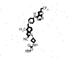 Cc1c(CN2CCC(Nc3ncnc4sc(CC(F)(F)F)cc34)CC2)ccc2c1cc(C#N)n2C[C@H]1C[C@@H](NC(=O)OC(C)(C)C)C1